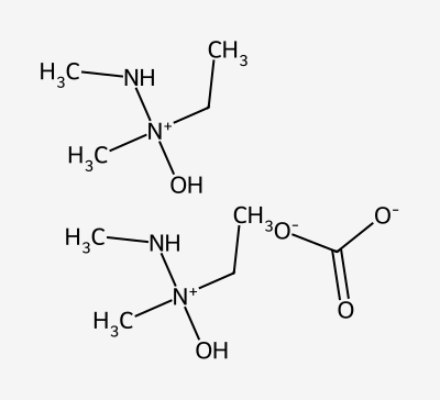 CC[N+](C)(O)NC.CC[N+](C)(O)NC.O=C([O-])[O-]